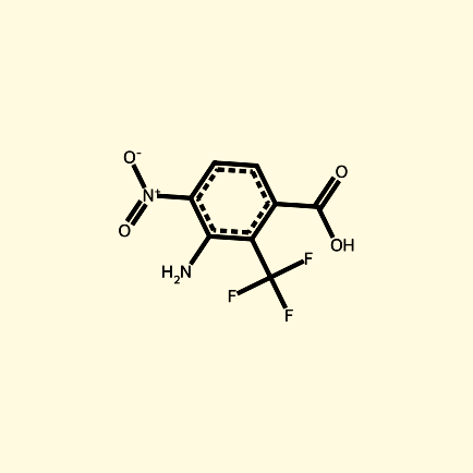 Nc1c([N+](=O)[O-])ccc(C(=O)O)c1C(F)(F)F